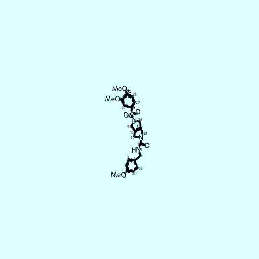 COc1ccc(CNC(=O)N2CC3=C(C2)CN(S(=O)(=O)c2ccc(OC)c(OC)c2)C3)cc1